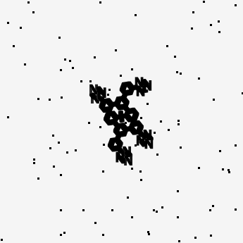 CC(C)(c1ccccc1-c1cc(-c2cccc(-c3ncncn3)c2)cc(-c2cccc(-c3ncncn3)c2)c1)c1ccccc1-c1cc(-c2cccc(-c3ncncn3)c2)cc(-c2cccc(-c3ncncn3)c2)c1